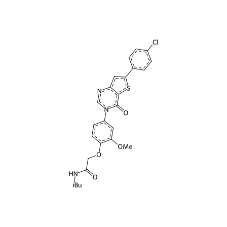 CCC(C)NC(=O)COc1ccc(-n2cnc3cc(-c4ccc(Cl)cc4)sc3c2=O)cc1OC